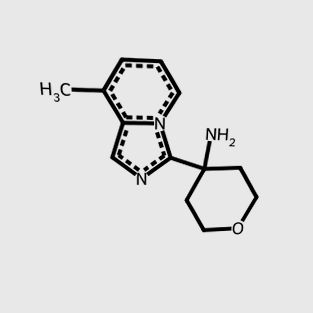 Cc1cccn2c(C3(N)CCOCC3)ncc12